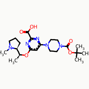 C[C@H](Oc1cc(N2CCN(C(=O)OC(C)(C)C)CC2)nc(C(=O)O)n1)[C@@H]1CCCN1C